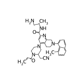 C=CC(=O)N1CCN(c2cc(C(=O)NC(C)CN)nc3c2CCN(c2cccc4cccc(C)c24)C3)CC1CC#N